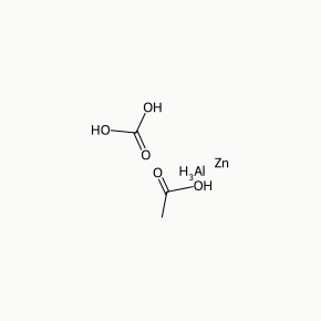 CC(=O)O.O=C(O)O.[AlH3].[Zn]